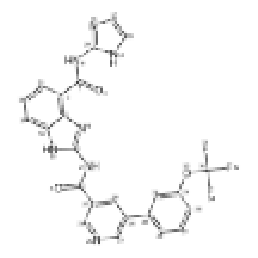 O=C(Nc1nc2c(C(=O)Nc3ncc[nH]3)cccc2[nH]1)c1cncc(-c2cccc(OC(F)(F)F)c2)c1